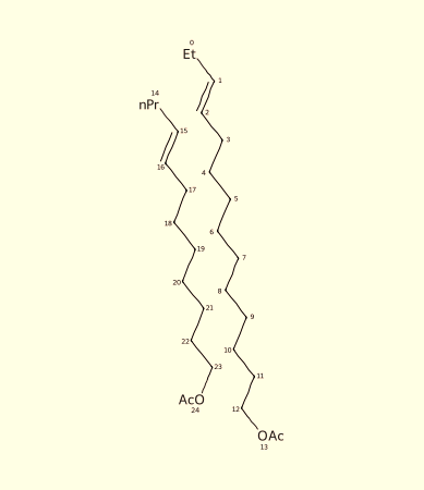 CCC=CCCCCCCCCCCOC(C)=O.CCCC=CCCCCCCCOC(C)=O